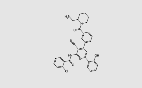 N#Cc1c(-c2cccc(C(=O)N3CCCCC3CN)c2)cc(-c2ccccc2O)nc1NC(=O)c1ccccc1Cl